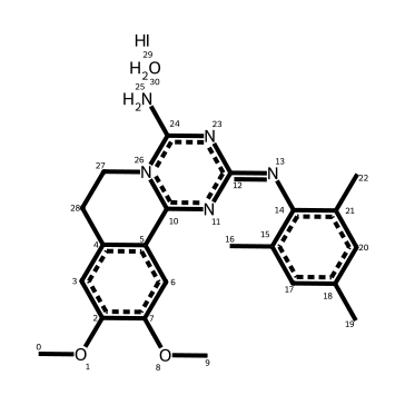 COc1cc2c(cc1OC)-c1nc(=Nc3c(C)cc(C)cc3C)nc(N)n1CC2.I.O